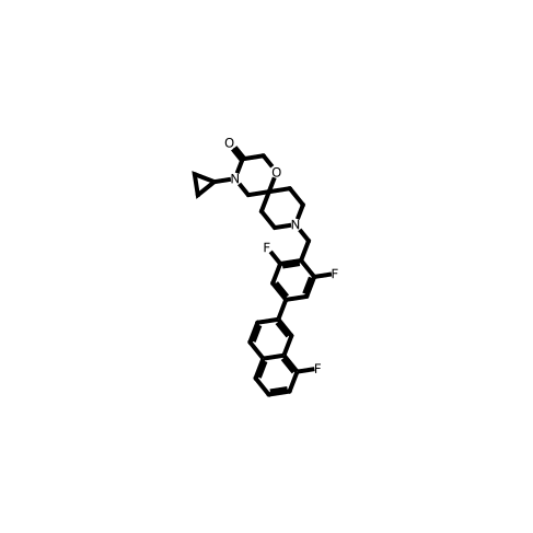 O=C1COC2(CCN(Cc3c(F)cc(-c4ccc5cccc(F)c5c4)cc3F)CC2)CN1C1CC1